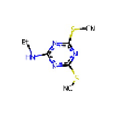 CCNc1nc(SC#N)nc(SC#N)n1